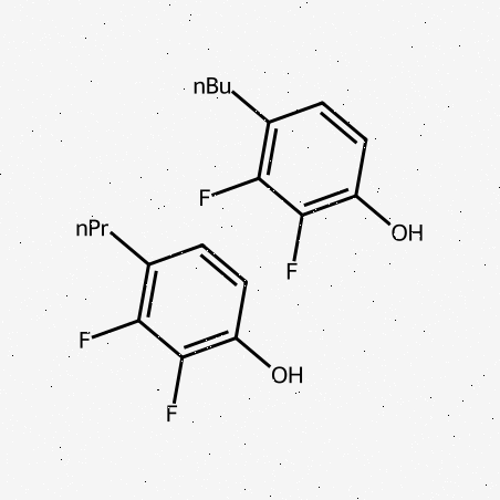 CCCCc1ccc(O)c(F)c1F.CCCc1ccc(O)c(F)c1F